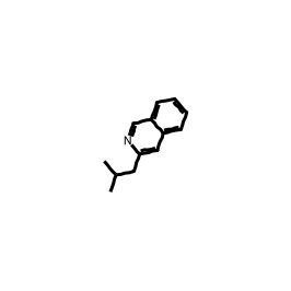 CC(C)Cc1cc2ccccc2cn1